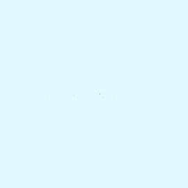 CC(C)(C)CC(=O)ONC(=O)c1ccccc1